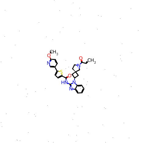 C=CC(=O)N1CC[C@]2(C1)C[C@H](n1c(NC(=O)c3ccc(-c4ccc(OC)nc4)s3)nc3ccccc31)C2